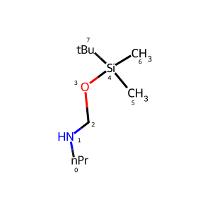 CCCNCO[Si](C)(C)C(C)(C)C